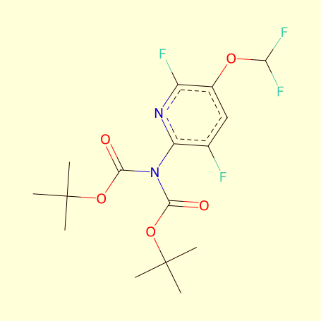 CC(C)(C)OC(=O)N(C(=O)OC(C)(C)C)c1nc(F)c(OC(F)F)cc1F